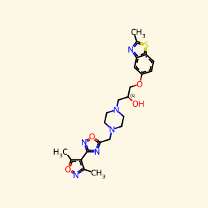 Cc1nc2cc(OC[C@@H](O)CN3CCN(Cc4nc(-c5c(C)noc5C)no4)CC3)ccc2s1